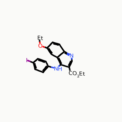 CCOC(=O)c1cnc2ccc(OCC)cc2c1Nc1ccc(I)cc1